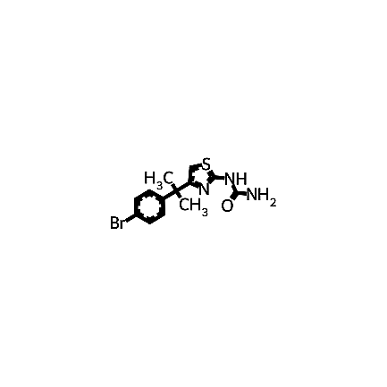 CC(C)(c1ccc(Br)cc1)c1csc(NC(N)=O)n1